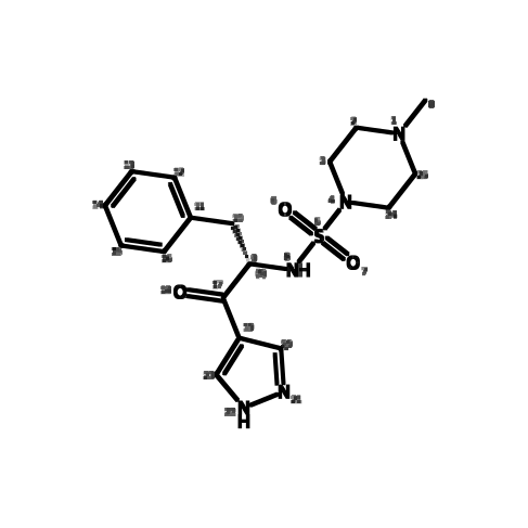 CN1CCN(S(=O)(=O)N[C@@H](Cc2ccccc2)C(=O)c2[c]n[nH]c2)CC1